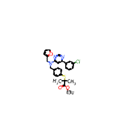 CC(C)(C)OC(=O)C(C)(C)Sc1ccc(CN(Cc2ccco2)c2cc(-c3cccc(Cl)c3)ncn2)cc1